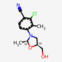 Cc1c(N2C[C@@H](CO)O[C@H]2C)ccc(C#N)c1Cl